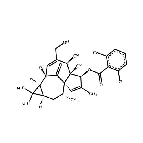 CC1=C[C@]23C(=O)[C@@H](C=C(CO)[C@@H](O)[C@]2(O)[C@H]1OC(=O)c1c(Cl)cccc1Cl)[C@H]1[C@@H](C[C@H]3C)C1(C)C